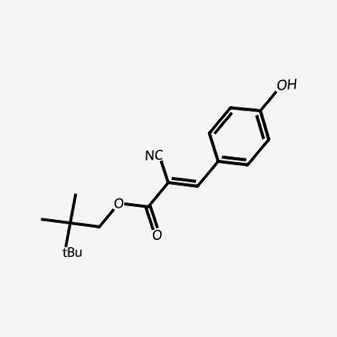 CC(C)(C)C(C)(C)COC(=O)/C(C#N)=C/c1ccc(O)cc1